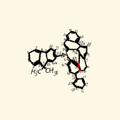 CC1(C)c2ccccc2-c2ccc(N(c3ccc(-c4ccccc4)cc3)c3cc4ccccc4c4ccc5ccccc5c34)cc21